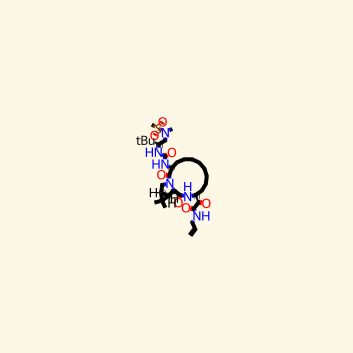 C=CCNC(=O)C(=O)[C@@H]1CCCCCCCC[C@H](NC(=O)N[C@H](CN(C)S(C)(=O)=O)C(C)(C)C)C(=O)N2C[C@H]3[C@@H]([C@H]2C(=O)N1)C3(C)C